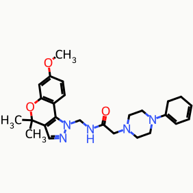 COc1ccc2c(c1)OC(C)(C)c1cnn(CNC(=O)CN3CCN(C4=CC=CCC4)CC3)c1-2